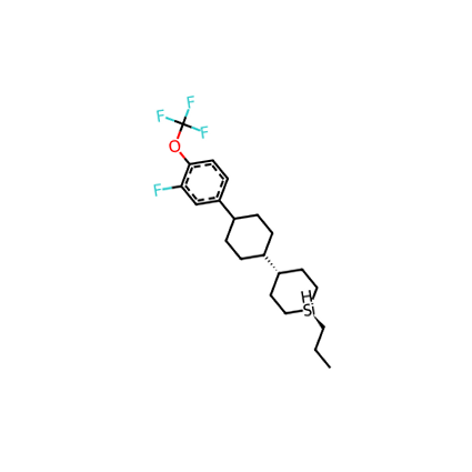 CCC[Si@H]1CC[C@H](C2CCC(c3ccc(OC(F)(F)F)c(F)c3)CC2)CC1